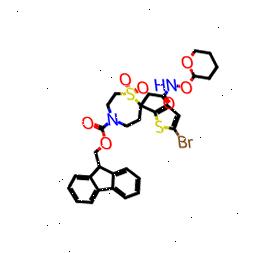 O=C(CC1(c2ccc(Br)s2)CCN(C(=O)OCC2c3ccccc3-c3ccccc32)CCS1(=O)=O)NOC1CCCCO1